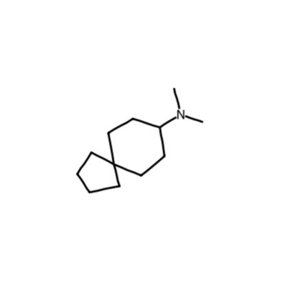 CN(C)C1CCC2(CCCC2)CC1